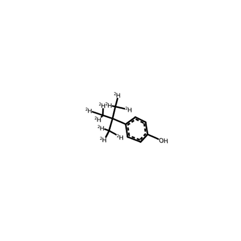 [2H]C([2H])([2H])C(c1ccc(O)cc1)(C([2H])([2H])[2H])C([2H])([2H])[2H]